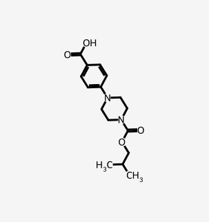 CC(C)COC(=O)N1CCN(c2ccc(C(=O)O)cc2)CC1